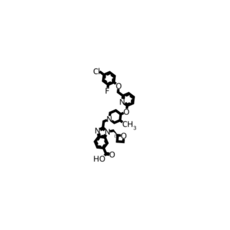 CC1CN(Cc2nc3ccc(C(=O)O)cc3n2C[C@@H]2CCO2)CCC1Oc1cccc(COc2ccc(Cl)cc2F)n1